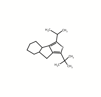 CC(C)c1sc(C(C)(C)C)c2c1C1CCCCC1C2